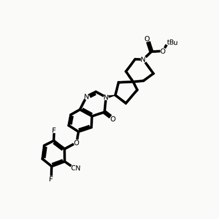 CC(C)(C)OC(=O)N1CCC2(CC[C@@H](n3cnc4ccc(Oc5c(F)ccc(F)c5C#N)cc4c3=O)C2)CC1